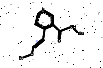 CCO/C=C/c1ccncc1C(=O)NC(C)(C)C